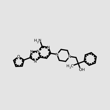 CC(O)(CN1CCN(c2cc3nc(-c4ccco4)nn3c(N)n2)CC1)c1ccccc1